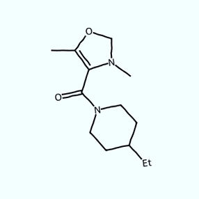 CCC1CCN(C(=O)C2=C(C)OCN2C)CC1